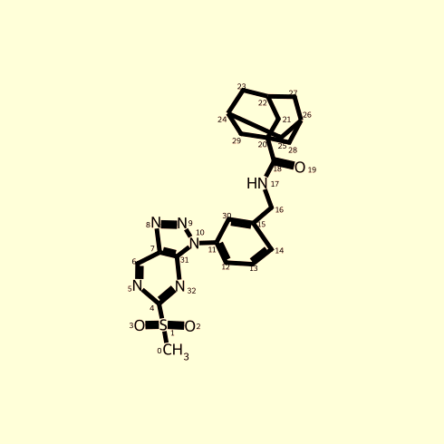 CS(=O)(=O)c1ncc2nnn(-c3cccc(CNC(=O)C45CC6CC(CC(C6)C4)C5)c3)c2n1